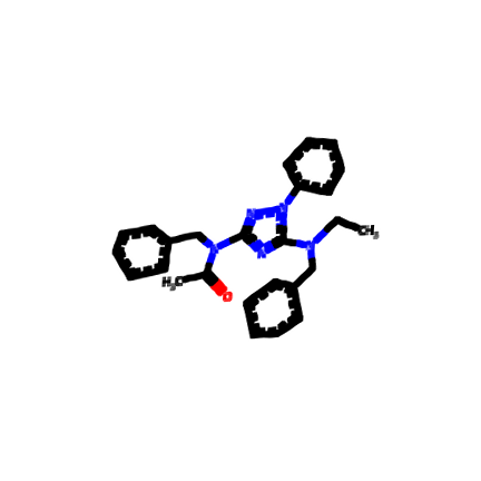 CCN(Cc1ccccc1)c1nc(N(Cc2ccccc2)C(C)=O)nn1-c1ccccc1